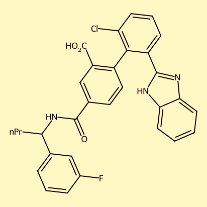 CCCC(NC(=O)c1ccc(-c2c(Cl)cccc2-c2nc3ccccc3[nH]2)c(C(=O)O)c1)c1cccc(F)c1